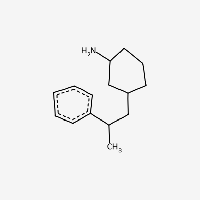 CC(CC1CCCC(N)C1)c1ccccc1